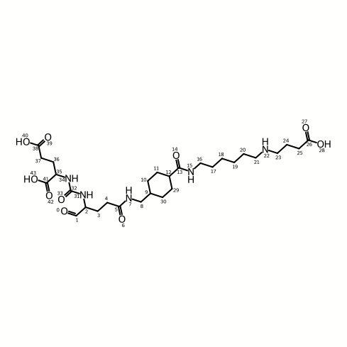 O=CC(CCC(=O)NCC1CCC(C(=O)NCCCCCCNCCCC(=O)O)CC1)NC(=O)NC(CCC(=O)O)C(=O)O